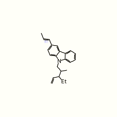 C=CC(CC)C(C)Cn1c2ccccc2c2cc(/C=C/C)ccc21